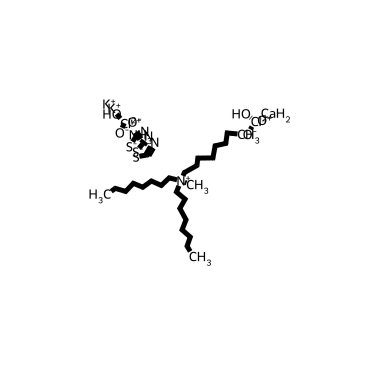 CCCCCCCC[N+](C)(CCCCCCCC)CCCCCCCC.N.N#C[S-].N#C[S-].N#C[S-].[CaH2].[K+].[K+].[O-][Cl+2]([O-])O.[O-][Cl+2]([O-])O